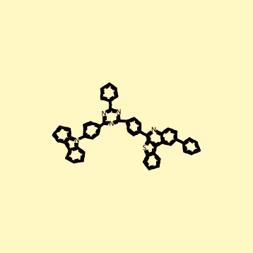 c1ccc(-c2ccc3nc(-c4ccc(-c5nc(-c6ccccc6)nc(-c6ccc(-n7c8ccccc8c8ccccc87)cc6)n5)cc4)c4sc5ccccc5c4c3c2)cc1